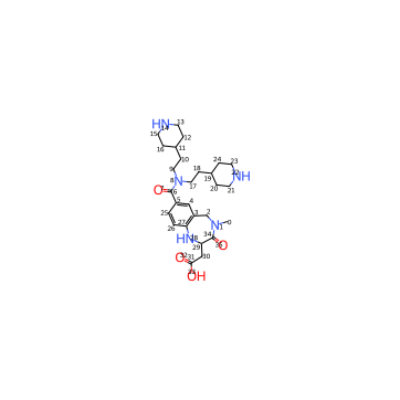 CN1Cc2cc(C(=O)N(CCC3CCNCC3)CCC3CCNCC3)ccc2NC(CC(=O)O)C1=O